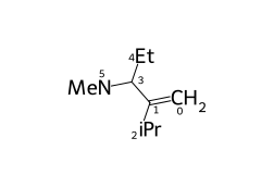 C=C(C(C)C)C(CC)NC